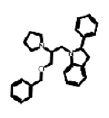 c1ccc(COCC(CN2c3ccccc3CC2c2ccccc2)N2CCCC2)cc1